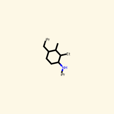 CCC1C(NC(C)C)CCC(CC(C)C)C1C